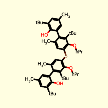 CCCOc1c(Sc2cc(C)c(-c3cc(C)cc(C(C)(C)C)c3O)c(C(C)(C)C)c2OCCC)cc(C)c(-c2cc(C)cc(C(C)(C)C)c2O)c1C(C)(C)C